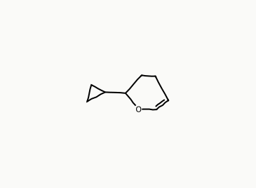 C1=COC(C2CC2)CC1